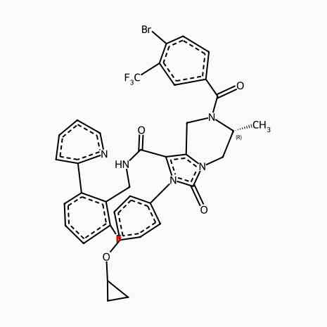 C[C@@H]1Cn2c(c(C(=O)NCc3c(F)cccc3-c3ccccn3)n(-c3ccc(OC4CC4)cc3)c2=O)CN1C(=O)c1ccc(Br)c(C(F)(F)F)c1